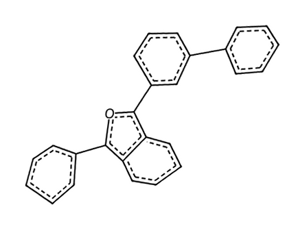 c1ccc(-c2cccc(-c3oc(-c4ccccc4)c4ccccc34)c2)cc1